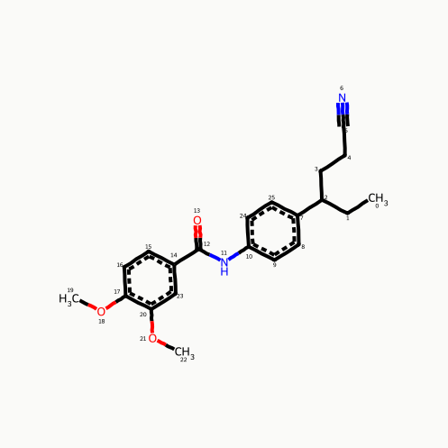 CCC(CCC#N)c1ccc(NC(=O)c2ccc(OC)c(OC)c2)cc1